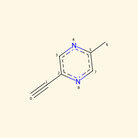 C#Cc1cnc(C)cn1